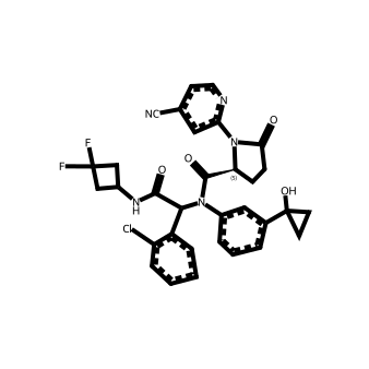 N#Cc1ccnc(N2C(=O)CC[C@H]2C(=O)N(c2cccc(C3(O)CC3)c2)C(C(=O)NC2CC(F)(F)C2)c2ccccc2Cl)c1